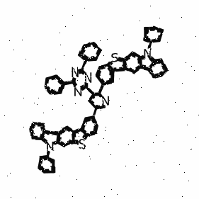 c1ccc(-c2nc(-c3ccccc3)nc(-c3cc(-c4ccc5sc6cc7c(cc6c5c4)c4ccccc4n7-c4ccccc4)cnc3-c3ccc4sc5cc6c(cc5c4c3)c3ccccc3n6-c3ccccc3)n2)cc1